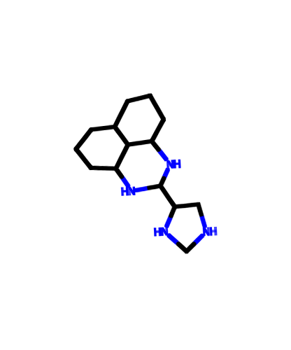 C1CC2CCCC3NC(C4CNCN4)NC(C1)C23